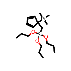 CCCO[Si](C[C]1([Pt]([CH3])([CH3])[CH3])C=CC=C1)(OCCC)OCCC